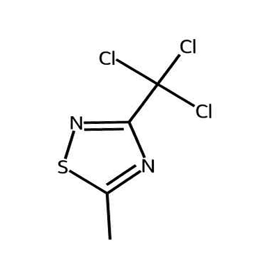 Cc1nc(C(Cl)(Cl)Cl)ns1